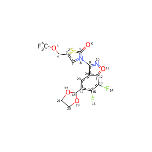 O=c1sc(COC(F)(F)F)cn1-c1noc2c(F)c(F)c(C3OCCO3)cc12